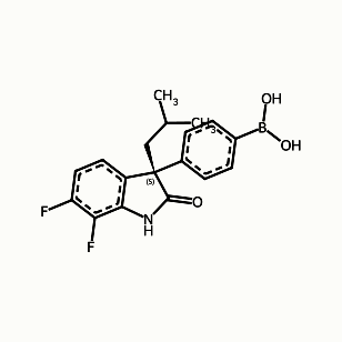 CC(C)C[C@@]1(c2ccc(B(O)O)cc2)C(=O)Nc2c1ccc(F)c2F